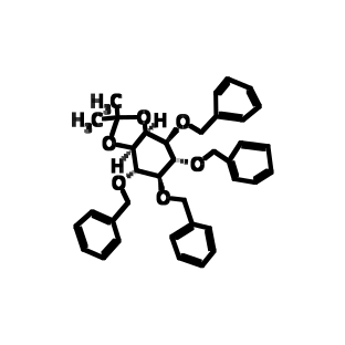 CC1(C)O[C@@H]2[C@@H](OCc3ccccc3)[C@H](OCc3ccccc3)[C@@H](OCc3ccccc3)[C@H](OCc3ccccc3)[C@@H]2O1